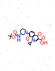 COc1c(N2C[C@@H](C)C[C@H](NC(=O)OC(C)(C)C)C2)ccc2c(=O)c(C(=O)O)cn(C3CC3)c12